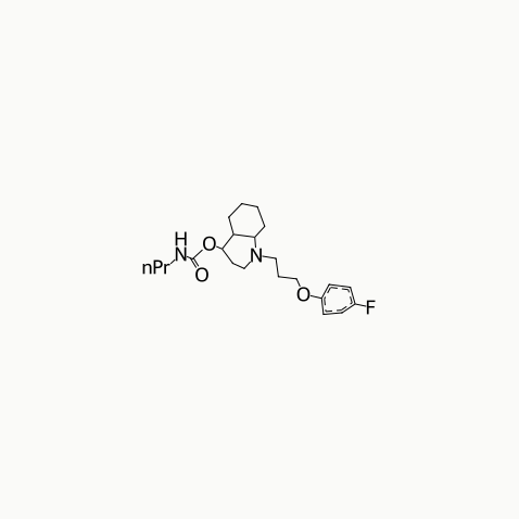 CCCNC(=O)OC1CCN(CCCOc2ccc(F)cc2)C2CCCCC12